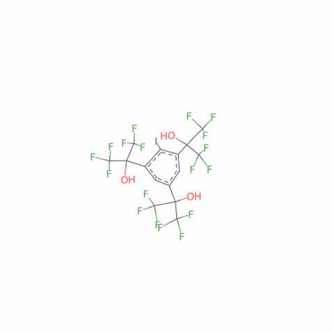 OC(c1cc(C(O)(C(F)(F)F)C(F)(F)F)c(I)c(C(O)(C(F)(F)F)C(F)(F)F)c1)(C(F)(F)F)C(F)(F)F